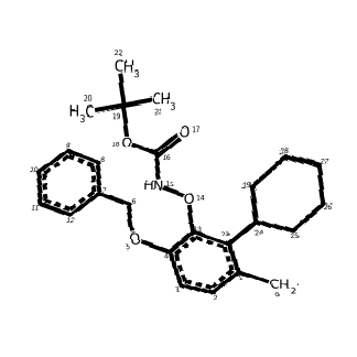 [CH2]c1ccc(OCc2ccccc2)c(ONC(=O)OC(C)(C)C)c1C1CCCCC1